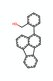 OCc1ccccc1-c1ccc2c3c(cccc13)-c1ccccc1-2